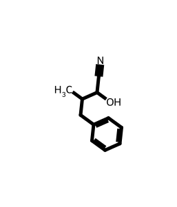 CC(Cc1ccccc1)C(O)C#N